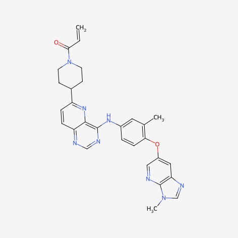 C=CC(=O)N1CCC(c2ccc3ncnc(Nc4ccc(Oc5cnc6c(c5)ncn6C)c(C)c4)c3n2)CC1